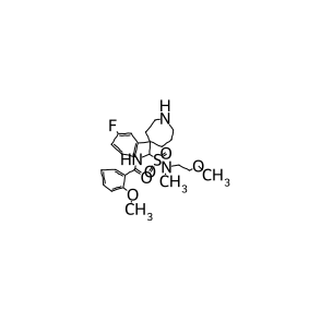 COCCN(C)S(=O)(=O)C(NC(=O)c1ccccc1OC)C1(c2cccc(F)c2)CCCNCC1